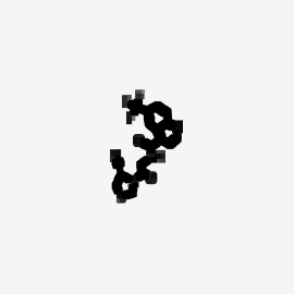 N#C[C@@H]1CSCN1C(=O)CNC(=O)c1ccnc2ccc(C(F)(F)F)cc12